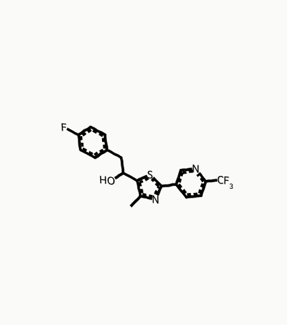 Cc1nc(-c2ccc(C(F)(F)F)nc2)sc1C(O)Cc1ccc(F)cc1